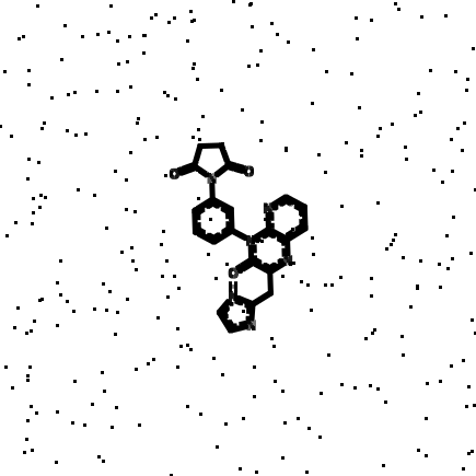 O=C1CCC(=O)N1c1cccc(-n2c(=O)c(Cc3ncc[nH]3)nc3cccnc32)c1